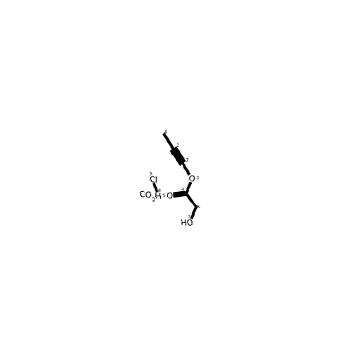 CC#COC(=O)CO.O=C(O)Cl